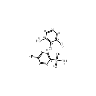 O=S(=O)(O)c1ccc(F)cc1.Oc1cccc(Cl)c1Cl